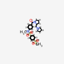 CN(c1ccc(C(=O)N2CCCC2CN2CCCC2)cc1)S(=O)(=O)c1ccc(S(C)(=O)=O)cc1